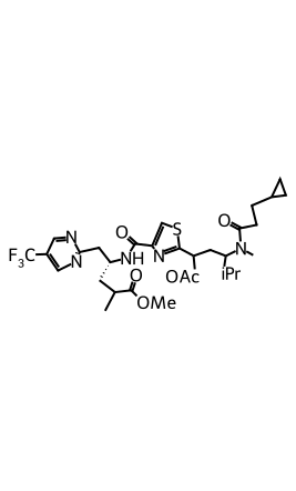 COC(=O)C(C)C[C@H](Cc1ncc(C(F)(F)F)cn1)NC(=O)c1csc(C(CC(C(C)C)N(C)C(=O)CCC2CC2)OC(C)=O)n1